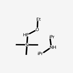 CC(C)NC(C)C.CCOP[Si](C)(C)C